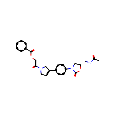 CC(=O)NC[C@H]1CN(c2ccc(C3=CCN(C(=O)COC(=O)c4ccccc4)C3)cc2)C(=O)O1